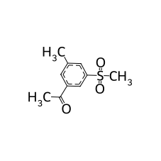 CC(=O)c1cc(C)cc(S(C)(=O)=O)c1